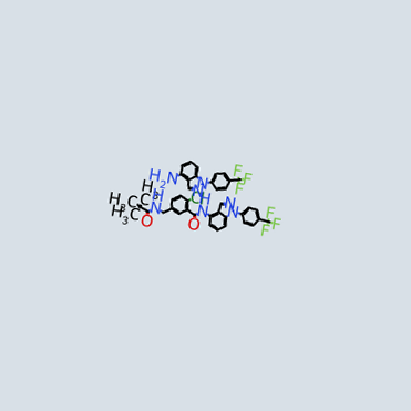 CC(C)(C)C(=O)NCc1ccc(Cl)c(C(=O)Nc2cccc3c2cnn3-c2ccc(C(F)(F)F)cc2)c1.Nc1cccc2c1cnn2-c1ccc(C(F)(F)F)cc1